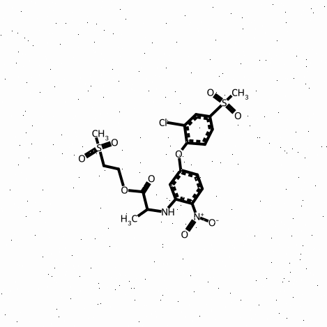 CC(Nc1cc(Oc2ccc(S(C)(=O)=O)cc2Cl)ccc1[N+](=O)[O-])C(=O)OCCS(C)(=O)=O